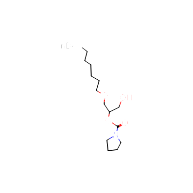 CCCCCCCCCCCCCCCCOCC(CO)OC(=O)N1CCCC1